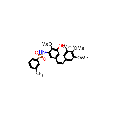 COc1cc(/C=C\c2cc(O)c(OC)c(NS(=O)(=O)c3cccc(C(F)(F)F)c3)c2)cc(OC)c1OC